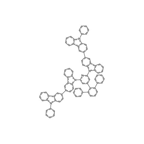 c1ccc(-c2cccc(-c3ccccc3)c2-c2cc(-n3c4ccccc4c4cc(-c5ccc6c(c5)c5ccccc5n6-c5ccccc5)ccc43)nc(-n3c4ccccc4c4cc(-c5ccc6c(c5)c5ccccc5n6-c5ccccc5)ccc43)c2)cc1